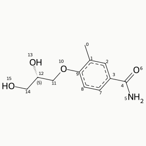 Cc1cc(C(N)=O)ccc1OC[C@@H](O)CO